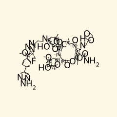 CC[C@H]1OC(=O)[C@H](C)C([C@H]2C[C@@](C)(OC)[C@@H](O)[C@H](C)O2)[C@H](C)[C@@H](O[C@@H]2O[C@H](C)C[C@H](N(C)CCc3cn([C@H](CF)[C@H](OC)c4ccc(-c5cnc(N)nc5)cc4)nn3)[C@H]2O)[C@](C)(OC)C[C@@H](C)C(=O)[C@H](C)[C@@H](CNCC2COCCO2)[C@]1(C)OC(N)=O